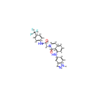 Cn1ncc2cc(Nc3cccc4ccn(CC(=O)Nc5ccc(C(F)(F)F)cc5)c(=O)c34)ccc21